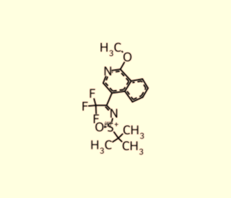 COc1ncc(C(=N[S@+]([O-])C(C)(C)C)C(F)(F)F)c2ccccc12